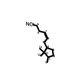 CC1CCC(C/C=C\CCC#N)C1(C)C